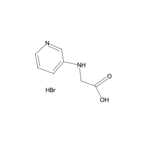 Br.O=C(O)CNc1cccnc1